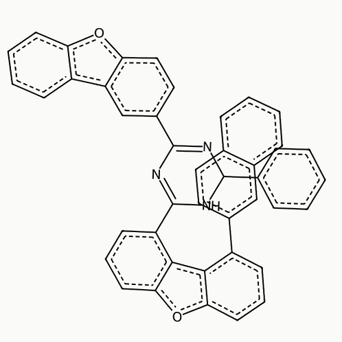 c1ccc(C2N=C(c3ccc4oc5ccccc5c4c3)N=C(c3cccc4oc5cccc(-c6ccc7ccccc7c6)c5c34)N2)cc1